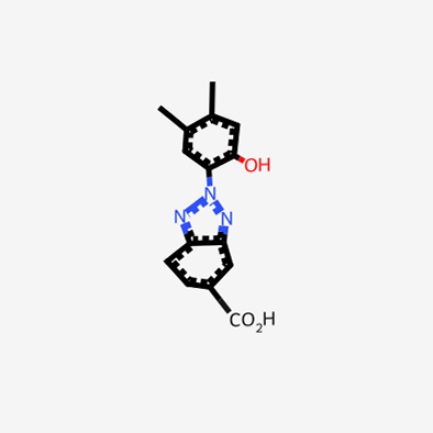 Cc1cc(O)c(-n2nc3ccc(C(=O)O)cc3n2)cc1C